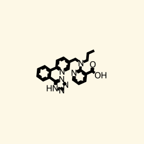 CCCN(Cc1ccc(-c2ccccc2-c2nnn[nH]2)nc1)c1ncccc1C(=O)O